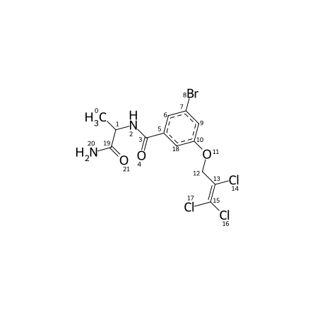 CC(NC(=O)c1cc(Br)cc(OCC(Cl)=C(Cl)Cl)c1)C(N)=O